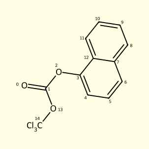 O=C(Oc1cccc2ccccc12)OC(Cl)(Cl)Cl